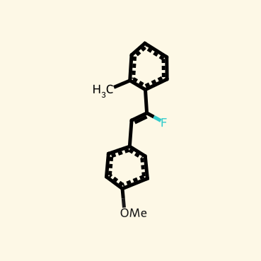 COc1ccc(C=C(F)c2ccccc2C)cc1